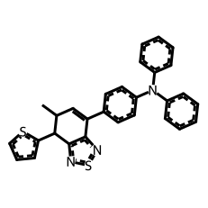 CC1C=C(c2ccc(N(c3ccccc3)c3ccccc3)cc2)c2nsnc2C1c1cccs1